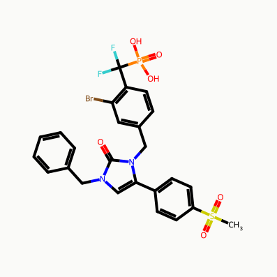 CS(=O)(=O)c1ccc(-c2cn(Cc3ccccc3)c(=O)n2Cc2ccc(C(F)(F)P(=O)(O)O)c(Br)c2)cc1